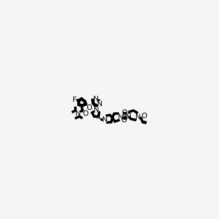 C=CC(=O)N1CCCN(S(=O)(=O)N2CCC3(CCN(C[C@@H]4CCN(c5ncncc5Oc5ccc(F)cc5C(=O)N(C(C)C)C(C)C)C4)CC3)CC2)CC1